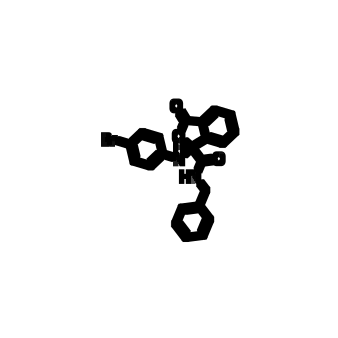 O=C1OC(Nc2ccc(Br)cc2)(C(=O)NCc2ccccc2)c2ccccc21